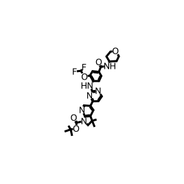 CC(C)(C)OC(=O)N1CC(C)(C)c2cc(-c3ccnc(Nc4ccc(C(=O)NC5CCOCC5)cc4OC(F)F)n3)cnc21